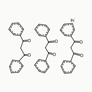 O=C(CC(=O)c1ccccc1)c1ccccc1.O=C(CC(=O)c1ccccc1)c1ccccc1.O=C(CC(=O)c1ccccc1)c1ccccc1.[In]